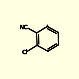 N#Cc1[c]cccc1Cl